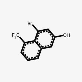 Oc1cc(Br)c2c(C(F)(F)F)cccc2c1